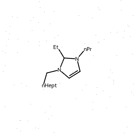 CCCCCCCCN1C=CN(CCC)C1CC